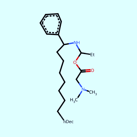 CCCCCCCCCCCCCCCCCC(NC(CC)OC(=O)CN(C)C)c1ccccc1